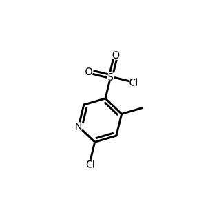 Cc1cc(Cl)ncc1S(=O)(=O)Cl